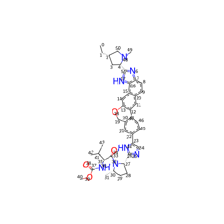 CC[C@H]1C[C@@H](c2nc3ccc4cc5c(cc4c3[nH]2)OCc2cc(-c3cnc([C@@H]4CC[C@H](C)N4C(=O)C(NC(=O)OC)C(C)C)[nH]3)ccc2-5)N(C)C1